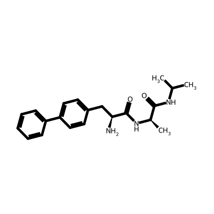 CC(C)NC(=O)[C@@H](C)NC(=O)[C@@H](N)Cc1ccc(-c2ccccc2)cc1